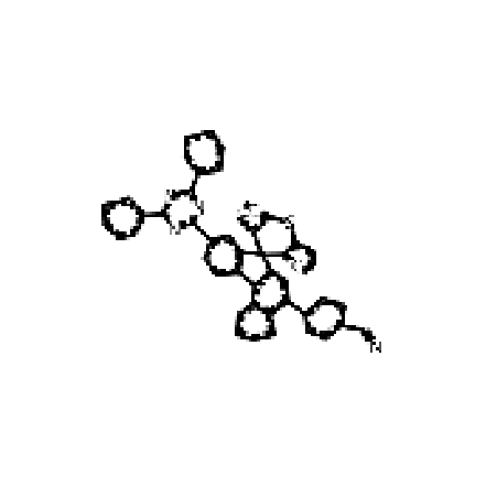 N#Cc1ccc(-c2cc3c(c4ccccc24)-c2ccc(-c4nc(-c5ccccc5)nc(-c5ccccc5)n4)cc2C32c3ccccc3Sc3ccccc32)cc1